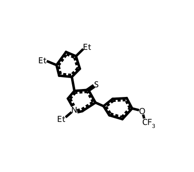 CCc1cc(CC)cc(-c2cn(CC)cc(-c3ccc(OC(F)(F)F)cc3)c2=S)c1